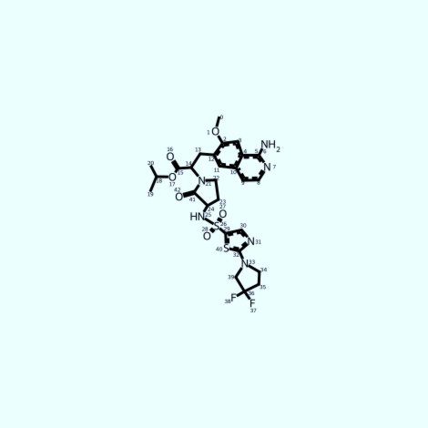 COc1cc2c(N)nccc2cc1CC(C(=O)OC(C)C)N1CCC(NS(=O)(=O)c2cnc(N3CCC(F)(F)C3)s2)C1=O